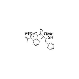 CCOC(=O)C(C(=O)C(C)(OC)C(S)Cc1ccccc1)c1ccccc1-c1c(C)cccc1C